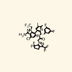 Cc1nc([C@H](Cc2cc(F)cc(F)c2)NC(=O)Cn2nc(C(F)F)c3c2C(F)(F)CC3)c(-c2ccc(Cl)c3c(N)nn(CC(F)(F)F)c23)cc1I